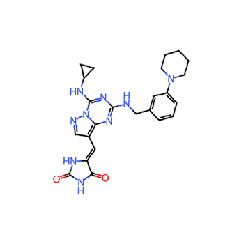 O=C1NC(=O)/C(=C/c2cnn3c(NC4CC4)nc(NCc4cccc(N5CCCCC5)c4)nc23)N1